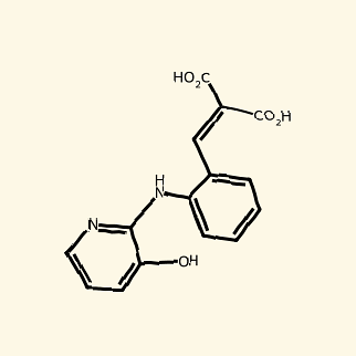 O=C(O)C(=Cc1ccccc1Nc1ncccc1O)C(=O)O